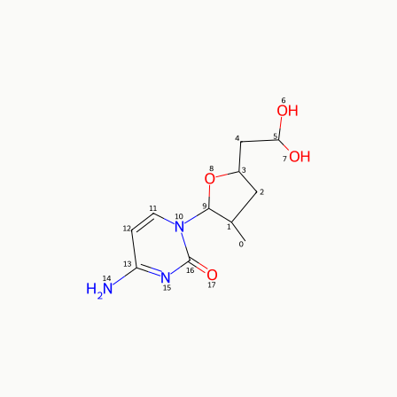 CC1CC(CC(O)O)OC1n1ccc(N)nc1=O